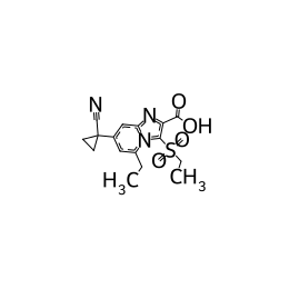 CCc1cc(C2(C#N)CC2)cc2nc(C(=O)O)c(S(=O)(=O)CC)n12